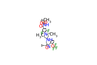 CCC1CC(NCc2c(-c3ccccc3OC(F)(F)F)noc2C2CC2)CC(C)N1c1c(F)cc(C(=O)NS(=O)(=O)C2(C)CC2)cc1F